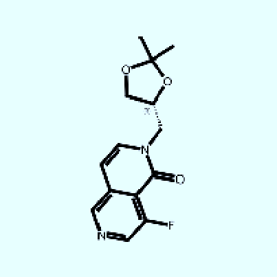 CC1(C)OC[C@@H](Cn2ccc3cncc(F)c3c2=O)O1